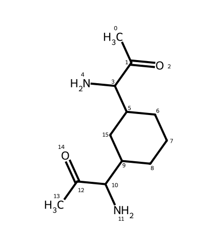 CC(=O)C(N)C1CCCC(C(N)C(C)=O)C1